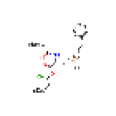 CCCCCCCCCCCC(=O)N[C@H](CC[SH](C)CCCc1ccccc1)C(=O)OC(Cl)CCCCCCCCCCC